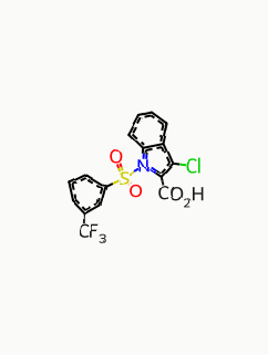 O=C(O)c1c(Cl)c2ccccc2n1S(=O)(=O)c1cccc(C(F)(F)F)c1